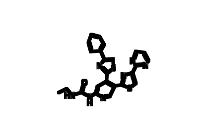 CCNC(=O)Nc1cc(-c2nc(-c3ccccc3)cs2)c(-c2nc(-c3ncccn3)cs2)cn1